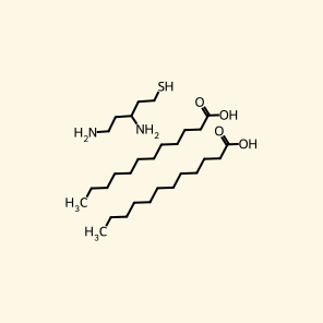 CCCCCCCCCCCC(=O)O.CCCCCCCCCCCC(=O)O.NCCC(N)CCS